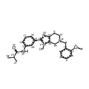 COc1ccccc1CN1CCc2nc(-c3cccc(NC(=O)C(C)C)c3)n(C)c2C1